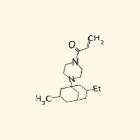 C=CC(=O)N1CCN(C23CC(C)CC(CC(CC)C2)C3)CC1